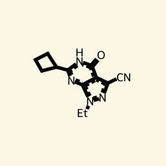 CCn1nc(C#N)c2c(=O)[nH]c(C3CCC3)nc21